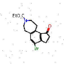 CCOC(=O)N1CCc2cc(Br)c3c(c2CC1)C(=O)CC3